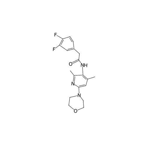 Cc1cc(N2CCOCC2)nc(C)c1NC(=O)Cc1ccc(F)c(F)c1